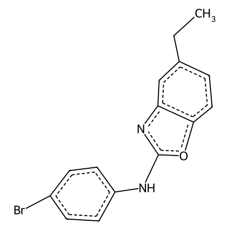 CCc1ccc2oc(Nc3ccc(Br)cc3)nc2c1